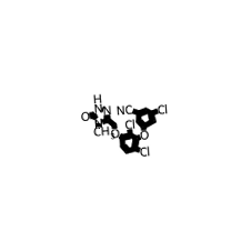 Cn1c(COc2ccc(Cl)c(Oc3cc(Cl)cc(C#N)c3)c2Cl)n[nH]c1=O